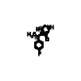 C[C@@H](c1ccc(F)cc1)N1C(=O)C2C[C@H]1CN2